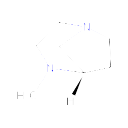 CN1CCN2CC[C@H]1C2